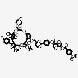 Cc1c(Cl)c2c(Cl)c(C)c1-c1c(-c3ccc(F)cc3)sc3ncnc(c13)O[C@@H](C(=O)OC(C)(C)C)Cc1cc(ccc1OCc1ccnc(-c3ccc(O[C@H]4CO[C@H]5[C@@H]4OC[C@@H]5OC(=O)c4ccc([N+](=O)[O-])cc4)cc3)n1)OC[C@@H](CN1CCN(C)CC1)O2